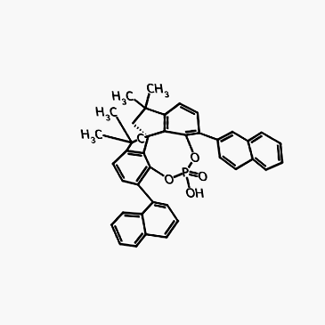 CC1(C)C[C@@]23CC(C)(C)c4ccc(-c5cccc6ccccc56)c(c42)OP(=O)(O)Oc2c(-c4ccc5ccccc5c4)ccc1c23